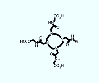 CCNC(=O)CN1CCN(CC(=O)NCC(=O)O)CCN(CC(=O)NCC(=O)O)CCN(CC(=O)NCC(=O)O)CC1